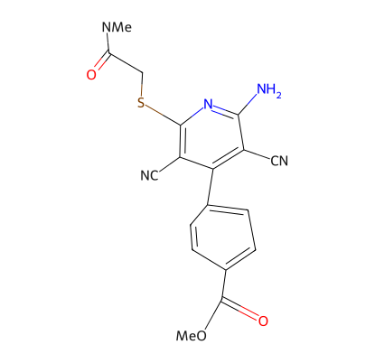 CNC(=O)CSc1nc(N)c(C#N)c(-c2ccc(C(=O)OC)cc2)c1C#N